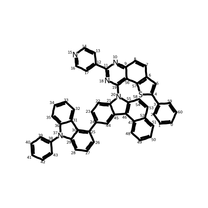 c1ccc(-c2cc3ccc4nc(-c5ccncc5)nc(-n5c6ccc(-c7cccc8c7c7ccccc7n8-c7ccccc7)cc6c6c7ccccc7ccc65)c4c3s2)cc1